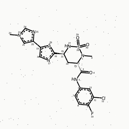 CN1[C@H](C(=O)Nc2ccc(F)c(Cl)c2)C[C@@H](c2ncc(-c3cn(C)cn3)s2)NS1(=O)=O